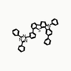 c1ccc(-c2ccc3c(c2)c2c4sc5c(-c6cccc(-c7nc(-c8ccccc8)nc(-c8ccccc8)n7)c6)cccc5c4ccc2n3-c2ccccc2)cc1